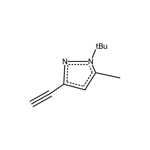 C#Cc1cc(C)n(C(C)(C)C)n1